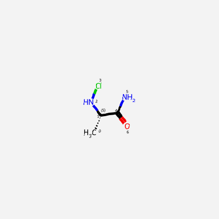 C[C@H](NCl)C(N)=O